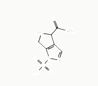 CNC(=O)C1NCc2c1cnn2S(C)(=O)=O